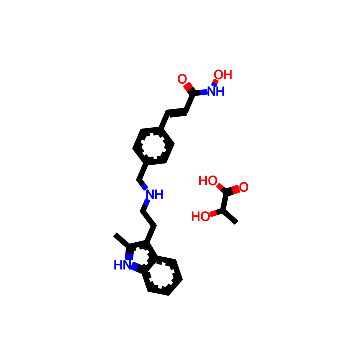 CC(O)C(=O)O.Cc1[nH]c2ccccc2c1CCNCc1ccc(C=CC(=O)NO)cc1